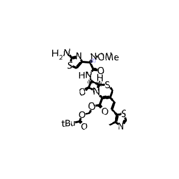 CO/N=C(\C(=O)N[C@@H]1C(=O)N2C(C(=O)OCOC(=O)C(C)(C)C)=C(C=Cc3scnc3C)CS[C@H]12)c1csc(N)n1